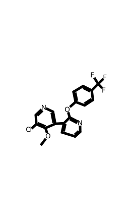 COc1c(Cl)cncc1-c1cccnc1Oc1ccc(C(F)(F)F)cc1